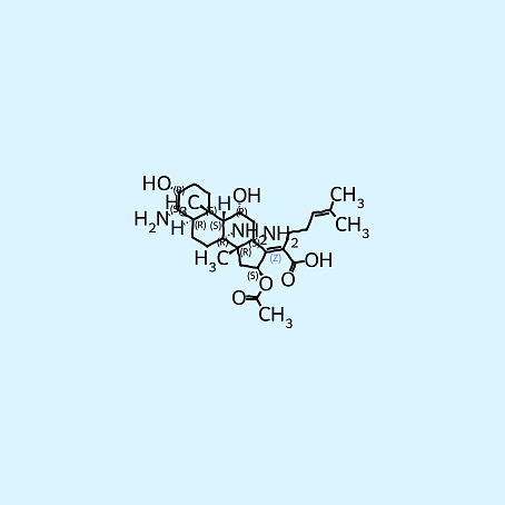 CC(=O)O[C@H]1C[C@@]2(C)[C@@](N)(C[C@@H](O)[C@H]3[C@@]4(C)CC[C@@H](O)[C@@H](N)[C@@H]4CC[C@@]32N)/C1=C(\CCC=C(C)C)C(=O)O